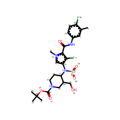 Cc1cc(NC(=O)c2c(F)c(N(C3CCN(C(=O)OC(C)(C)C)CC3CO)[SH](=O)=O)cn2C)ccc1F